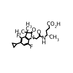 C[C@@H](CCC(=O)O)NC(=O)CN1C(=O)C(C)(C)c2c(F)c(C3CC3)cc(F)c21